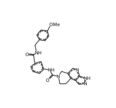 COc1ccc(CNC(=O)c2cccc(NC(=O)N3CCc4c(cnc5[nH]ncc45)C3)c2)cc1